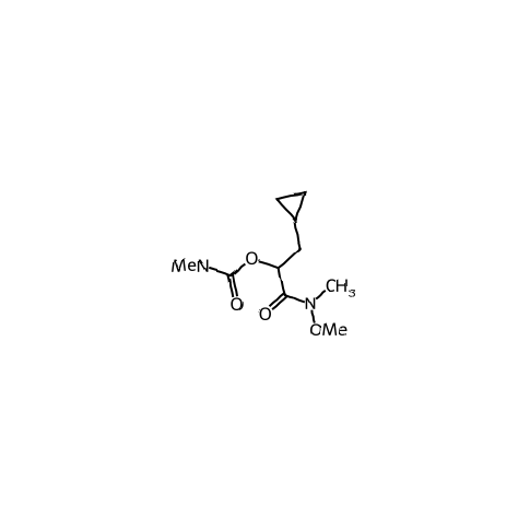 CNC(=O)OC(CC1CC1)C(=O)N(C)OC